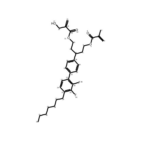 C=C(C)C(=O)OCCC(CCOC(=O)C(=C)CO)c1ccc(-c2ccc(CCCCCCC)c(F)c2F)cc1